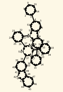 c1ccc(-c2ccc3c4ccc(-c5ccccc5)cc4n(-c4ccccc4-c4nc(-c5ccccc5)nc(-c5ccc6sc7ccccc7c6c5)n4)c3c2)cc1